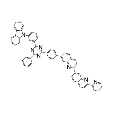 c1ccc(-c2nc(-c3ccc(-c4ccc5ccc(-c6ccc7ccc(-c8ccccn8)nc7c6)nc5c4)cc3)nc(-c3cccc(-n4c5ccccc5c5ccccc54)c3)n2)cc1